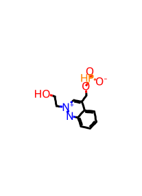 O=[PH]([O-])OCc1c[n+](CCO)nc2ccccc12